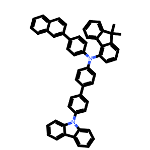 CC1(C)c2ccccc2-c2c(N(c3ccc(-c4ccc(-n5c6ccccc6c6ccccc65)cc4)cc3)c3ccc(-c4ccc5ccccc5c4)cc3)cccc21